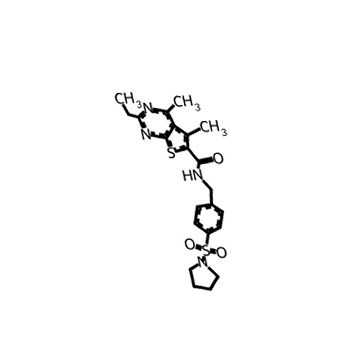 CCc1nc(C)c2c(C)c(C(=O)NCc3ccc(S(=O)(=O)N4CCCC4)cc3)sc2n1